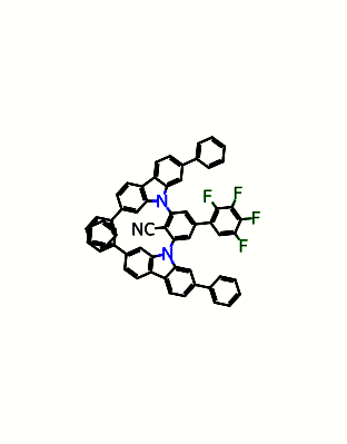 N#Cc1c(-n2c3cc(-c4ccccc4)ccc3c3ccc(-c4ccccc4)cc32)cc(-c2cc(F)c(F)c(F)c2F)cc1-n1c2cc(-c3ccccc3)ccc2c2ccc(-c3ccccc3)cc21